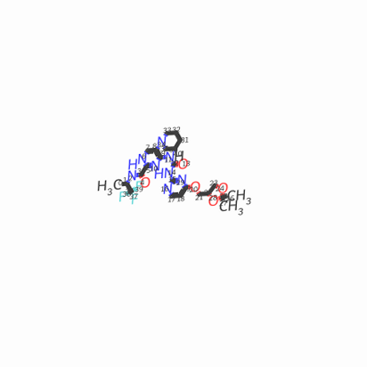 CC(NC(=O)c1ncc2c(n1)N(C(=O)Nc1nccc(OCC3COC(C)(C)O3)n1)[C@H]1CCCN2C1)C(F)(F)F